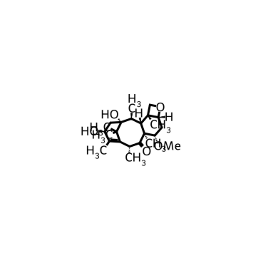 CO[C@H]1C[C@H]2OC[C@@]2(C)[C@H]2[C@H](C)[C@]3(O)C[C@H](O)C(C)=C([C@@H](C)C(=O)[C@]12C)C3(C)C